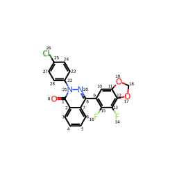 O=c1c2ccccc2c(-c2cc3c(c(F)c2F)OCO3)nn1-c1ccc(Cl)cc1